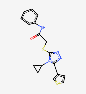 O=C(CSc1nnc(-c2ccsc2)n1C1CC1)Nc1ccccc1